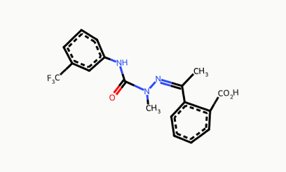 CC(=NN(C)C(=O)Nc1cccc(C(F)(F)F)c1)c1ccccc1C(=O)O